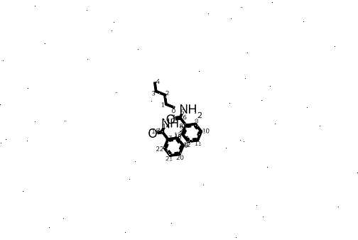 CCCCC.NC(=O)c1ccccc1.NC(=O)c1ccccc1